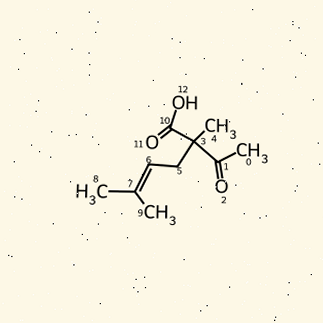 CC(=O)C(C)(CC=C(C)C)C(=O)O